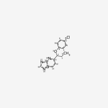 CCC(Oc1ccc(Cl)cc1)c1ccn2ncnc2n1